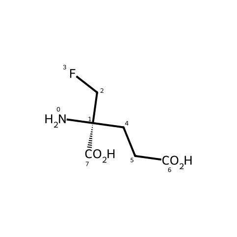 N[C@@](CF)(CCC(=O)O)C(=O)O